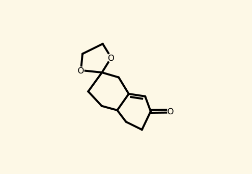 O=C1C=C2CC3(CCC2CC1)OCCO3